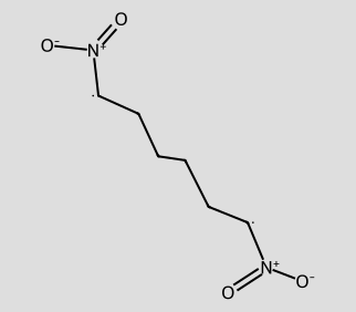 O=[N+]([O-])[CH]CCCC[CH][N+](=O)[O-]